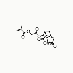 C=C(C)C(=O)OCC(=O)OC1C2CC(=O)C3C2CC1C3C(=O)OC